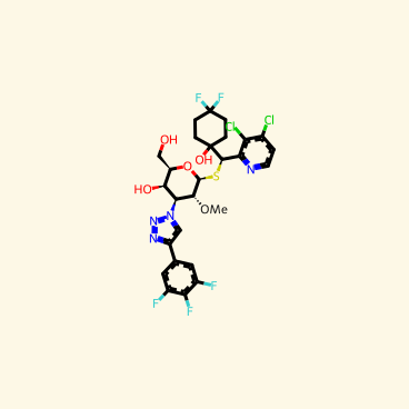 CO[C@@H]1[C@@H](n2cc(-c3cc(F)c(F)c(F)c3)nn2)[C@@H](O)[C@@H](CO)O[C@H]1S[C@H](c1nccc(Cl)c1Cl)C1(O)CCC(F)(F)CC1